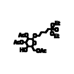 CCOP(=O)(CCCCO[C@@H]1OC(COC(C)=O)[C@@H](O)C(OC(C)=O)C1OC(C)=O)OCC